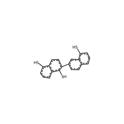 Sc1cccc2ccc(-c3ccc4c(S)cccc4c3S)cc12